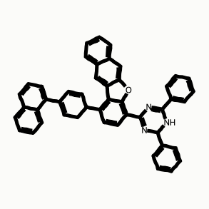 C1=CC(c2ccc(C3=NC(c4ccccc4)NC(c4ccccc4)=N3)c3oc4cc5ccccc5cc4c23)CC=C1c1cccc2ccccc12